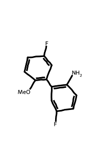 COc1ccc(F)cc1-c1cc(F)ccc1N